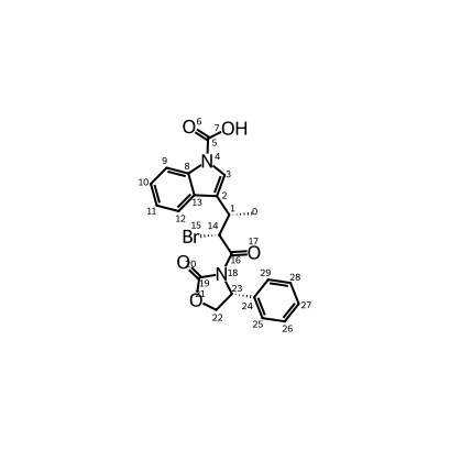 C[C@@H](c1cn(C(=O)O)c2ccccc12)[C@@H](Br)C(=O)N1C(=O)OC[C@H]1c1ccccc1